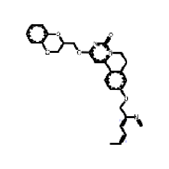 C=N/C(=C\C=C/C)COc1ccc2c(c1)CCn1c-2cc(OCC2COc3ccccc3O2)nc1=O